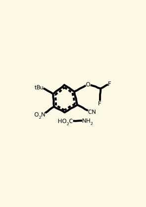 CC(C)(C)c1cc(OC(F)F)c(C#N)cc1[N+](=O)[O-].NC(=O)O